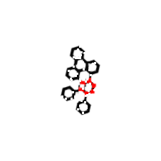 c1ccc(-c2cccc(-c3cccc4c5ccccc5c5cccc(-c6cccc(-c7ccccc7)n6)c5c34)n2)cc1